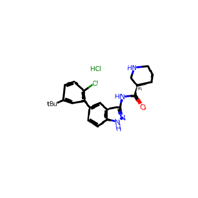 CC(C)(C)c1ccc(Cl)c(-c2ccc3[nH]nc(NC(=O)[C@@H]4CCCNC4)c3c2)c1.Cl